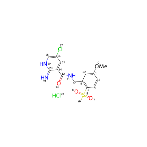 COc1ccc(S(C)(=O)=O)c(CNC(=O)c2cc(Cl)c[nH]c2=N)c1.Cl